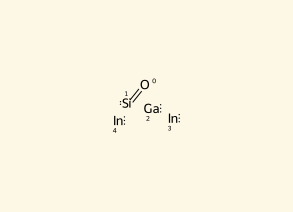 O=[Si].[Ga].[In].[In]